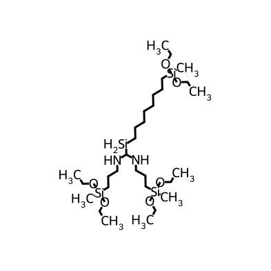 CCO[Si](C)(CCCCCCCC[SiH2]C(NCCC[Si](C)(OCC)OCC)NCCC[Si](C)(OCC)OCC)OCC